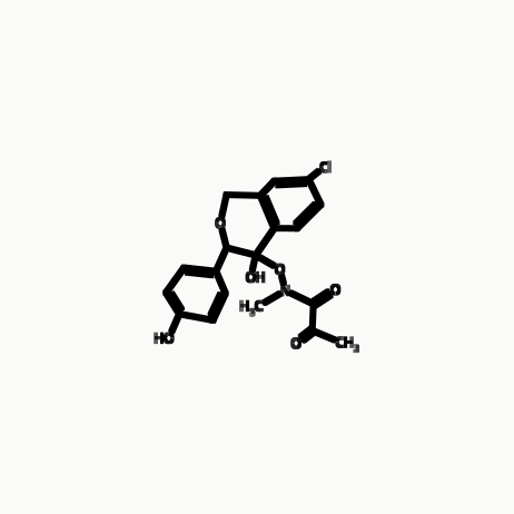 CC(=O)C(=O)N(C)OC1(O)c2ccc(Cl)cc2COC1c1ccc(O)cc1